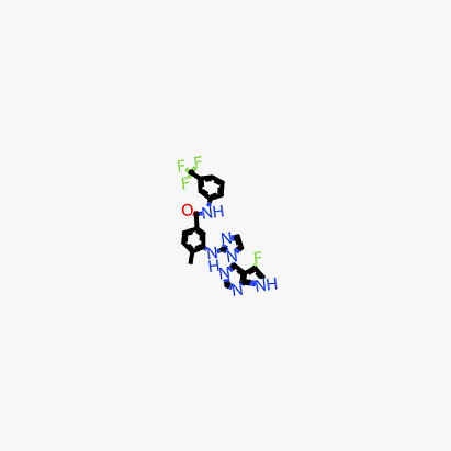 Cc1ccc(C(=O)Nc2cccc(C(F)(F)F)c2)cc1Nc1nccn1-c1ncnc2[nH]cc(F)c12